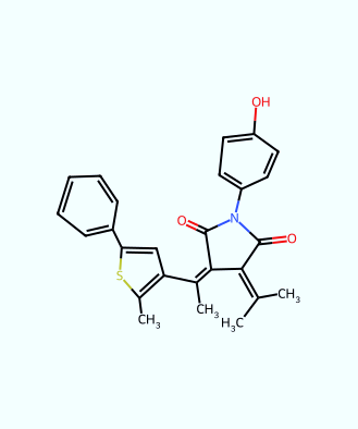 CC(C)=C1C(=O)N(c2ccc(O)cc2)C(=O)C1=C(C)c1cc(-c2ccccc2)sc1C